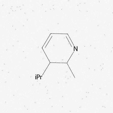 CC(C)C1C=CC=NC1C